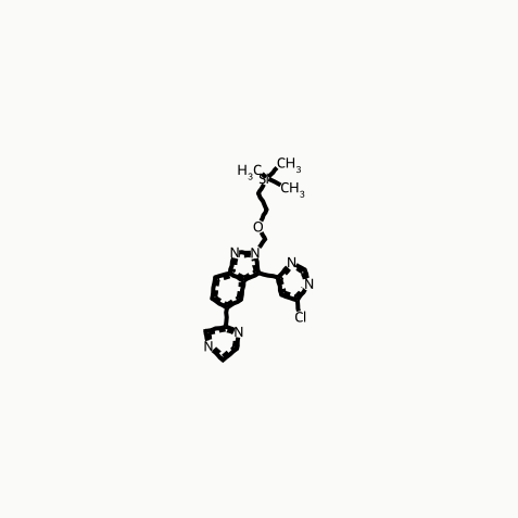 C[Si](C)(C)CCOCn1nc2ccc(-c3cnccn3)cc2c1-c1cc(Cl)ncn1